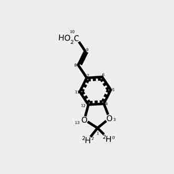 [2H]C1([2H])Oc2ccc(/C=C/C(=O)O)cc2O1